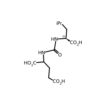 CC(C)C[C@H](NC(=O)NC(CCC(=O)O)C(=O)O)C(=O)O